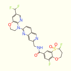 O=C(NCc1cc2nc(N3CCOc4cc(C(F)F)cnc43)ccc2cn1)c1cc(F)c2c(c1)S(=O)(=O)[C@@H](F)CCO2